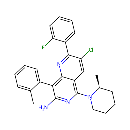 Cc1ccccc1-c1c(N)nc(N2CCCC[C@@H]2C)c2cc(Cl)c(-c3ccccc3F)nc12